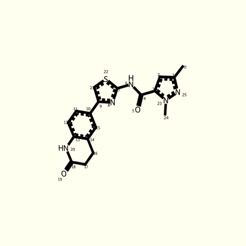 Cc1cc(C(=O)Nc2nc(-c3ccc4c(c3)CCC(=O)N4)cs2)n(C)n1